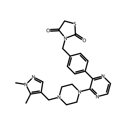 Cc1c(CN2CCN(c3nccnc3-c3ccc(CN4C(=O)CSC4=O)cc3)CC2)cnn1C